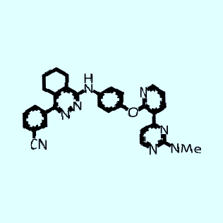 CNc1nccc(-c2cccnc2Oc2ccc(Nc3nnc(-c4cccc(C#N)c4)c4c3CCCC4)cc2)n1